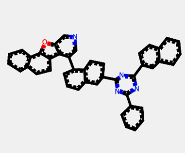 c1ccc(-c2nc(-c3ccc4ccccc4c3)nc(-c3ccc4c(-c5cncc6oc7c8ccccc8ccc7c56)cccc4c3)n2)cc1